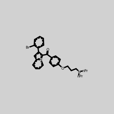 CCCN(CCC)CCCOc1ccc(C(=O)c2c(-c3ccccc3Br)cc3ccccn23)cc1